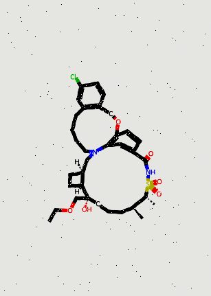 CCOC[C@]1(O)CCC[C@H](C)[C@@H](C)S(=O)(=O)NC(=O)c2ccc3c(c2)N(CCCCc2cc(Cl)ccc2CO3)C[C@@H]2CC[C@H]21